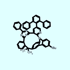 CC(C)(C)c1ccc2c(c1)c1cc3ccc1n2-c1ncc(-c2c(-c4ccccc4)cccc2-c2ccccc2)cc1-c1nc(-c2ccccc2)nc(n1)-c1ccccc1C3(C)C